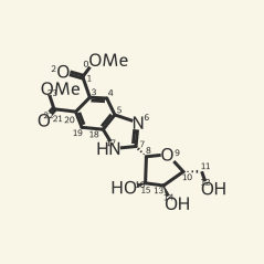 COC(=O)c1cc2nc([C@@H]3O[C@H](CO)[C@@H](O)[C@H]3O)[nH]c2cc1C(=O)OC